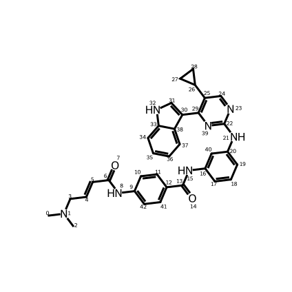 CN(C)C/C=C/C(=O)Nc1ccc(C(=O)Nc2cccc(Nc3ncc(C4CC4)c(-c4c[nH]c5ccccc45)n3)c2)cc1